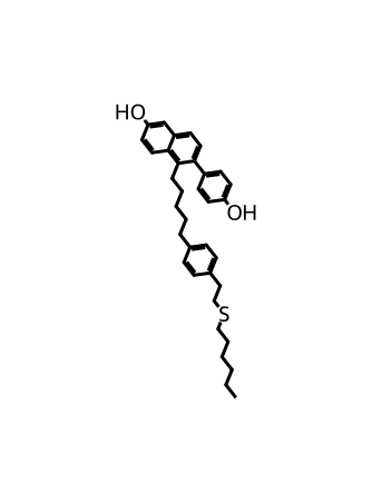 CCCCCCSCCc1ccc(CCCCCc2c(-c3ccc(O)cc3)ccc3cc(O)ccc23)cc1